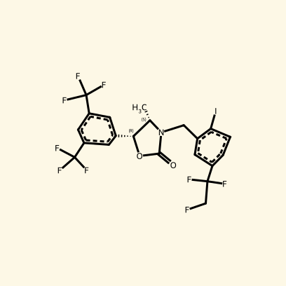 C[C@H]1[C@@H](c2cc(C(F)(F)F)cc(C(F)(F)F)c2)OC(=O)N1Cc1cc(C(F)(F)CF)ccc1I